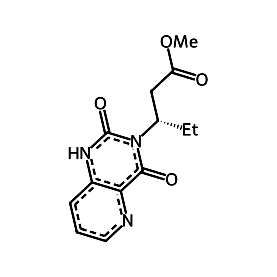 CC[C@@H](CC(=O)OC)n1c(=O)[nH]c2cccnc2c1=O